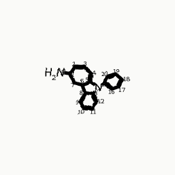 NC1C=CC=C2C(C1)c1ccccc1N2c1ccccc1